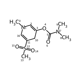 CN1C=C(OC(=O)N(C)C)CC(S(C)(=O)=O)=C1